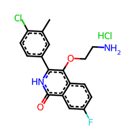 Cc1cc(-c2[nH]c(=O)c3cc(F)ccc3c2OCCN)ccc1Cl.Cl